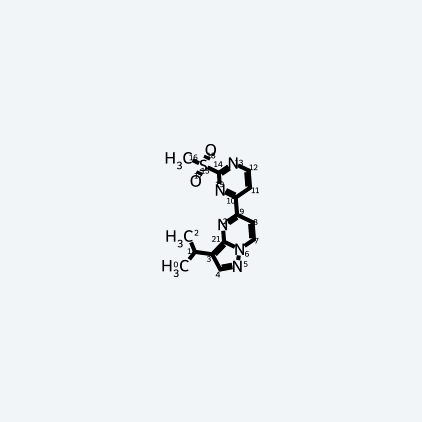 CC(C)c1cnn2ccc(-c3ccnc(S(C)(=O)=O)n3)nc12